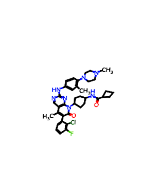 Cc1cc(Nc2ncc3c(C)c(-c4cccc(F)c4Cl)c(=O)n(C4CCC(NC(=O)C5CCC5)CC4)c3n2)ccc1N1CCN(C)CC1